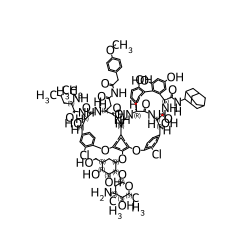 CN[C@H](CC(C)C)C(=O)N[C@H]1C(=O)N[C@@H](CC(=O)NC(=O)Cc2ccc(OC)cc2)C(=O)N[C@H]2C(=O)N[C@H]3C(=O)N[C@H](C(=O)N[C@H](C(=O)NC4C5CC6CC(C5)CC4C6)c4cc(O)cc(O)c4-c4cc3ccc4O)[C@H](O)c3ccc(c(Cl)c3)Oc3cc2cc(c3O[C@@H]2C[C@H](CO)[C@@H](O)[C@H](O)[C@H]2O[C@H]2C[C@](C)(N)[C@H](O)[C@H](C)O2)Oc2ccc(cc2Cl)[C@H]1O